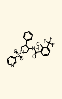 O=C(NC1CN(S(=O)(=O)c2cccnc2)CC1c1ccccc1)c1cccc(C(F)(F)F)c1Cl